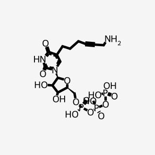 NCC#CCCCc1cn([C@H]2O[C@@H](COP(=O)(O)OP(=O)(O)OP(=O)(O)O)C(O)C2O)c(=O)[nH]c1=O